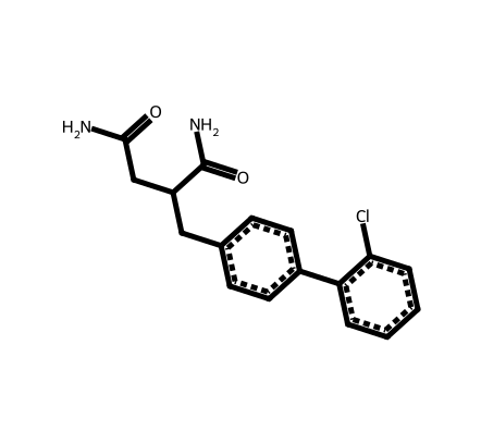 NC(=O)CC(Cc1ccc(-c2ccccc2Cl)cc1)C(N)=O